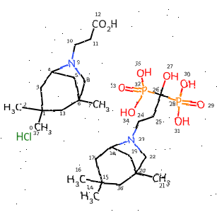 CC1(C)CC2CC(C)(CN2CCC(=O)O)C1.CC1(C)CC2CC(C)(CN2CCC(O)(P(=O)(O)O)P(=O)(O)O)C1.Cl